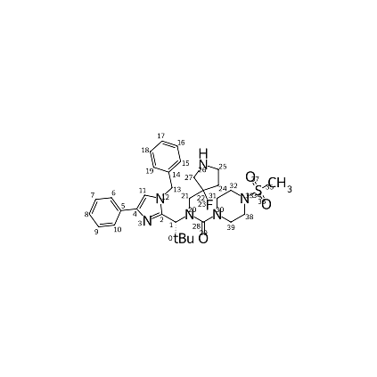 CC(C)(C)[C@H](c1nc(-c2ccccc2)cn1Cc1ccccc1)N(CC1(F)CCNC1)C(=O)N1CCN(S(C)(=O)=O)CC1